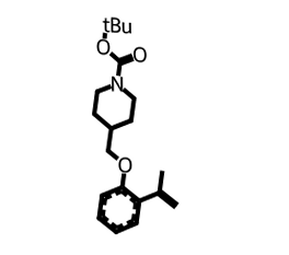 C=C(C)c1ccccc1OCC1CCN(C(=O)OC(C)(C)C)CC1